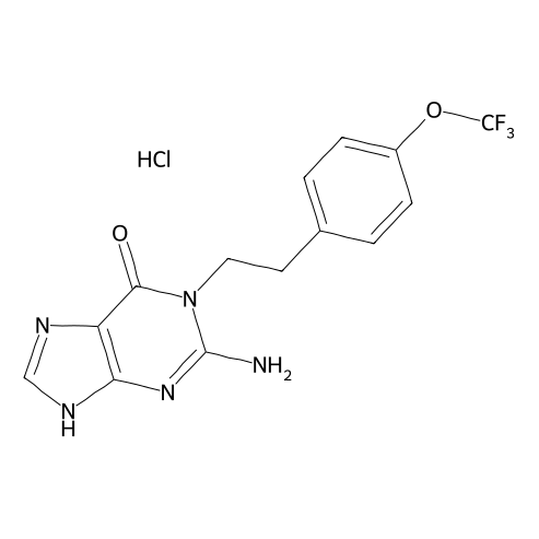 Cl.Nc1nc2[nH]cnc2c(=O)n1CCc1ccc(OC(F)(F)F)cc1